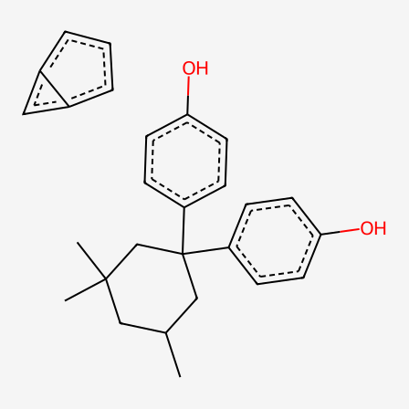 CC1CC(C)(C)CC(c2ccc(O)cc2)(c2ccc(O)cc2)C1.c1cc2cc-2c1